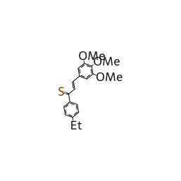 CCc1ccc(C(=S)C=Cc2cc(OC)c(OC)c(OC)c2)cc1